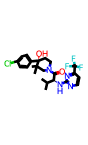 CC(C)[C@@H](Nc1nccc(C(F)(F)F)n1)C(=O)N1CC[C@](O)(c2ccc(Cl)cc2)C(C)(C)C1